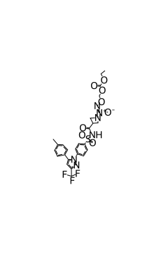 CCOC(=O)OCO/N=[N+](\[O-])N1CC(C(=O)NS(=O)(=O)c2ccc(-n3nc(C(F)(F)F)cc3-c3ccc(C)cc3)cc2)C1